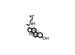 CC(NCCN(C)C)[C@H]1CC[C@H]2[C@@H]3CC=C4C[C@@H](O)CC[C@]4(C)[C@H]3CC[C@]12C